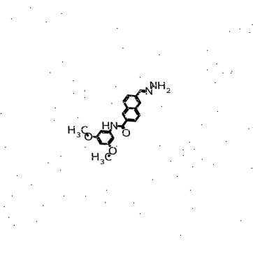 COc1cc(NC(=O)c2ccc3cc(C=NN)ccc3c2)cc(OC)c1